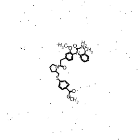 COC(=O)c1ccc(SCC2CCCN2C(=O)Cc2ccc(N(C(N)=O)c3ccccc3C)c(OC)c2)cc1